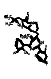 CCOC(=O)C1=C(CN2CCN3C(=S)N(CC(C)(C)C(=O)O)CC3C2)NC(c2ncc(F)cc2F)=NC1c1cccc(F)c1C